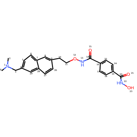 CN(C)Cc1ccc2cc(CCONC(=O)c3ccc(C(=O)NO)cc3)ccc2c1